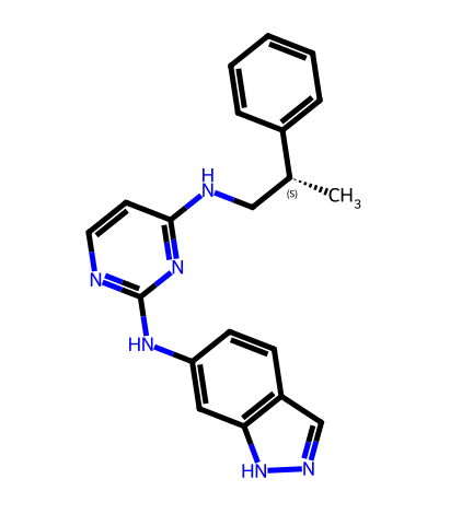 C[C@H](CNc1ccnc(Nc2ccc3cn[nH]c3c2)n1)c1ccccc1